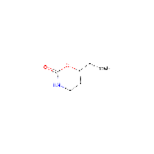 COCC1CCNC(=O)O1